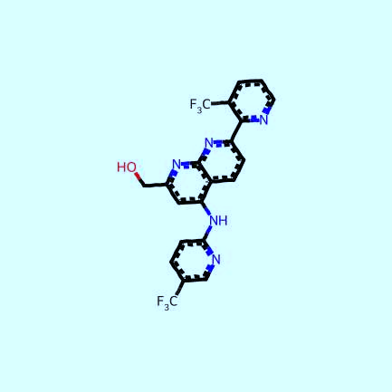 OCc1cc(Nc2ccc(C(F)(F)F)cn2)c2ccc(-c3ncccc3C(F)(F)F)nc2n1